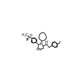 CS(=O)(=O)c1ccc(C2CNCC(NCc3ccc(F)cc3)N2C2CCCCCCC2)cc1